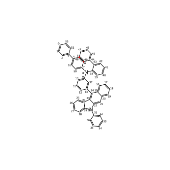 c1ccc(-c2ccc(N(c3cccc(-c4c5ccccc5cc5c4c4ccccc4n5-c4ccccc4)c3)c3ccccc3-c3ccccc3)cc2)cc1